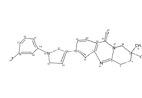 CC1(C)CCc2nc3cc(C4=CCN(c5cccc(F)c5)C4)ccc3c(=O)n2C1